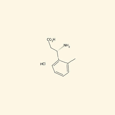 Cc1ccccc1[C@@H](N)CC(=O)O.Cl